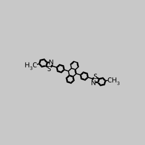 Cc1ccc2nc(-c3ccc(C4=C5C=CC=CC5C(c5ccc(-c6nc7ccc(C)cc7s6)cc5)c5ccccc54)cc3)sc2c1